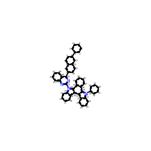 c1ccc(-c2ccc3cc(-c4nc(-n5c6ccccc6c6c7c8ccccc8n(-c8ccccc8)c7c7ccccc7c65)nc5ccccc45)ccc3c2)cc1